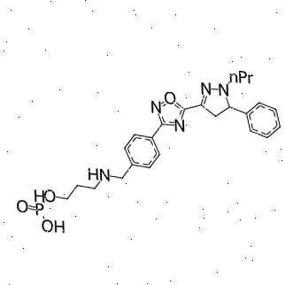 CCCN1N=C(c2nc(-c3ccc(CNCCCO[PH](=O)O)cc3)no2)CC1c1ccccc1